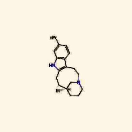 CCCc1ccc2c3c([nH]c2c1)CC[C@]1(CC)CCCN(CC3)C1